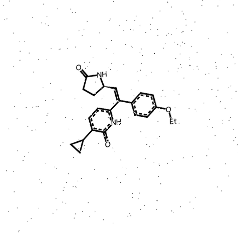 CCOc1ccc(C(=C[C@H]2CCC(=O)N2)c2ccc(C3CC3)c(=O)[nH]2)cc1